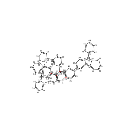 c1ccc(-c2ccccc2-c2c(-c3ccccc3)cccc2N(c2cccc(-c3ccc4c(c3)c3ccccc3n4-c3ccccc3)c2)c2ccc3c4ccccc4n(-c4ccccc4)c3c2)cc1